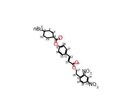 CCCCC1CCC(C(=O)Oc2ccc(/C=C/C(=O)OCCc3ccc([N+](=O)[O-])cc3[N+](=O)[O-])cc2)CC1